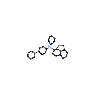 c1ccc(-c2ccc(N(c3ccccc3)c3ccc4cccc5c4c3CC5)cc2)cc1